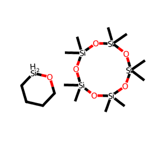 C1CC[SiH2]OC1.C[Si]1(C)O[Si](C)(C)O[Si](C)(C)O[Si](C)(C)O[Si](C)(C)O1